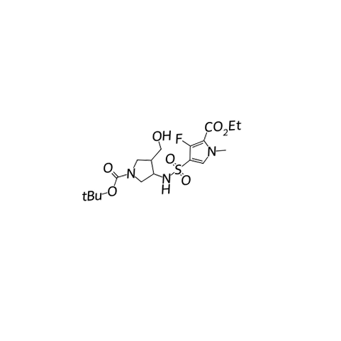 CCOC(=O)c1c(F)c(S(=O)(=O)NC2CN(C(=O)OC(C)(C)C)CC2CO)cn1C